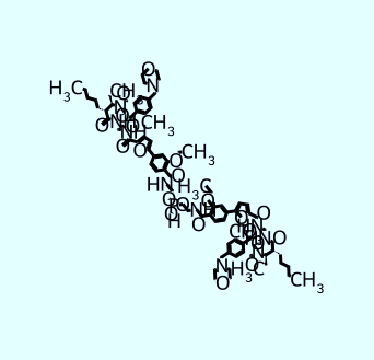 CCCCC[C@@H](C(=O)NCNC(=O)c1ccc(-c2ccc(C(=O)NCO[PH](=O)OCNC(=O)c3ccc(-c4ccc(C(=O)NCNC(=O)[C@H](CCCCC)[C@@H](CC)N(C=O)OC(=O)c5ccc(CN6CCOCC6)cc5C)o4)cc3OCC)c(OCC)c2)o1)[C@@H](CC)N(C=O)OC(=O)c1ccc(CN2CCOCC2)cc1C